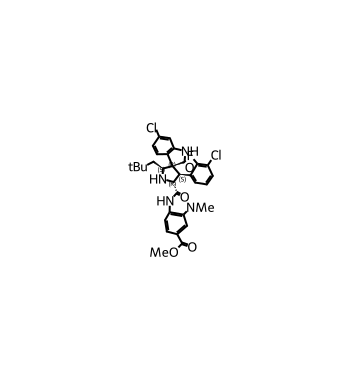 CNc1cc(C(=O)OC)ccc1NC(=O)[C@@H]1N[C@@H](CC(C)(C)C)[C@@]2(C(=O)Nc3cc(Cl)ccc32)[C@H]1c1cccc(Cl)c1F